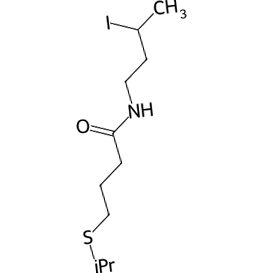 CC(I)CCNC(=O)CCCSC(C)C